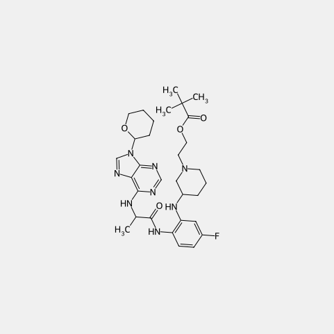 CC(Nc1ncnc2c1ncn2C1CCCCO1)C(=O)Nc1ccc(F)cc1NC1CCCN(CCOC(=O)C(C)(C)C)C1